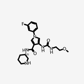 COCCNC(=O)Nc1cn(-c2cccc(F)c2)cc1C(=O)N[C@H]1CCCNC1